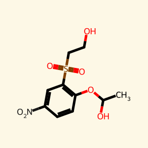 CC(O)Oc1ccc([N+](=O)[O-])cc1S(=O)(=O)CCO